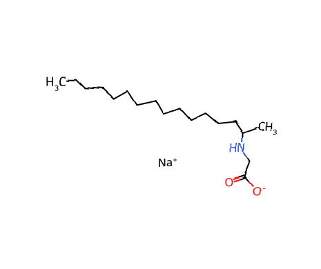 CCCCCCCCCCCCCCC(C)NCC(=O)[O-].[Na+]